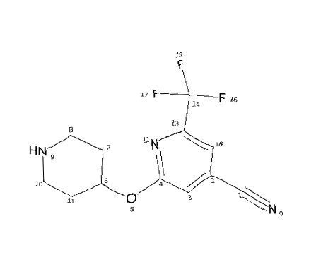 N#Cc1cc(OC2CCNCC2)nc(C(F)(F)F)c1